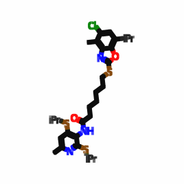 Cc1cc(SC(C)C)c(NC(=O)CCCCCCSc2nc3c(C)c(Cl)cc(C(C)C)c3o2)c(SC(C)C)n1